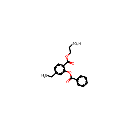 BCc1ccc(C(=O)OCCS(=O)(=O)O)c(OC(=O)c2ccccc2)c1